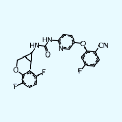 N#Cc1ccc(F)cc1Oc1ccc(NC(=O)NC2C3COc4c(F)ccc(F)c4C32)nc1